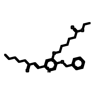 CCCCCC(=O)/C=C/c1cc(OCCCCCC(=O)OCC)c(OCc2ccccc2)cn1